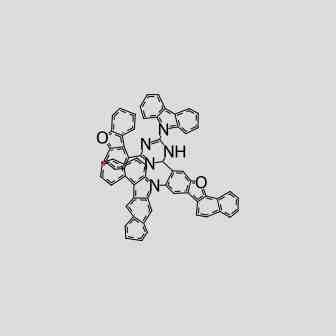 c1ccc2cc3c(cc2c1)c1c2ccccc2ccc1n3-c1cc2c(cc1C1N=C(c3cccc4oc5ccccc5c34)N=C(n3c4ccccc4c4ccccc43)N1)oc1c3ccccc3ccc21